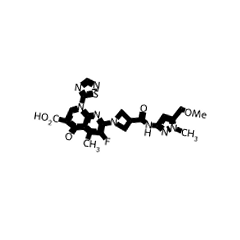 COCc1cc(NC(=O)C2CN(c3nc4c(c(C)c3F)c(=O)c(C(=O)O)cn4-c3ncns3)C2)nn1C